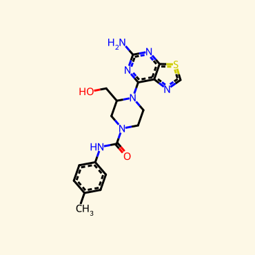 Cc1ccc(NC(=O)N2CCN(c3nc(N)nc4scnc34)C(CO)C2)cc1